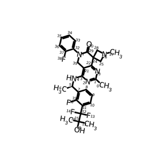 Cc1nc(N[C@H](C)c2cccc(C(F)(F)C(C)(C)O)c2F)c2c(n1)C1(CN(C)C1)C(=O)N(c1ccccc1F)C2